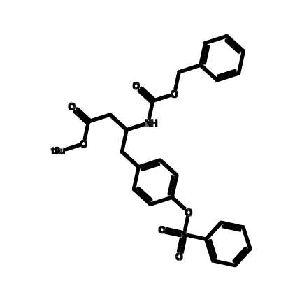 CC(C)(C)OC(=O)CC(Cc1ccc(OS(=O)(=O)c2ccccc2)cc1)NC(=O)OCc1ccccc1